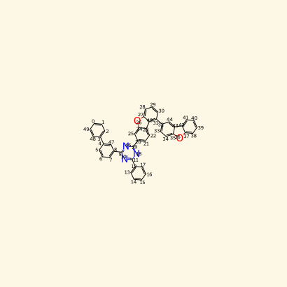 c1ccc(-c2cccc(-c3nc(-c4ccccc4)nc(-c4ccc5c(c4)oc4cccc(-c6ccc7oc8ccccc8c7c6)c45)n3)c2)cc1